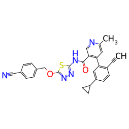 C#Cc1ccc(C2CC2)cc1-c1cc(C)ncc1C(=O)Nc1nnc(OCc2ccc(C#N)cc2)s1